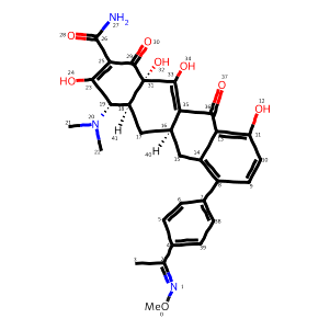 CO/N=C(\C)c1ccc(-c2ccc(O)c3c2C[C@H]2C[C@H]4[C@H](N(C)C)C(O)=C(C(N)=O)C(=O)[C@@]4(O)C(O)=C2C3=O)cc1